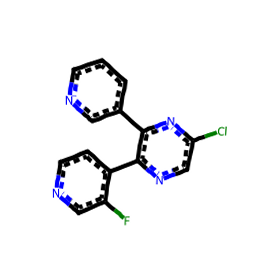 Fc1cnccc1-c1ncc(Cl)nc1-c1cccnc1